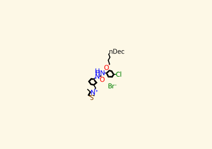 CCCCCCCCCCCCCCOc1cc(Cl)ccc1NC(=O)Nc1cccc(C[n+]2cscc2C)c1.[Br-]